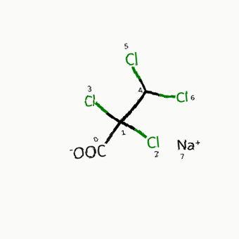 O=C([O-])C(Cl)(Cl)C(Cl)Cl.[Na+]